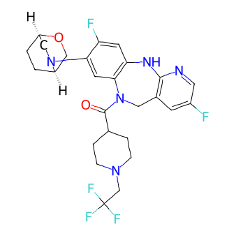 O=C(C1CCN(CC(F)(F)F)CC1)N1Cc2cc(F)cnc2Nc2cc(F)c(N3C[C@H]4CC[C@@H]3CO4)cc21